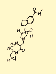 CN(C)C(=O)c1ccc2c(c1)CC[C@@H]2N1C(=O)[C@@H]2C[C@H]1CN2C[C@H](N)C(=O)N1C2C[C@H]2C[C@H]1C#N